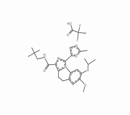 COc1cc2c(cc1OC(C)C)-n1c(-c3cnc(C)s3)nc(C(=O)NCC(C)(C)C)c1CC2.O=C(O)C(F)(F)F